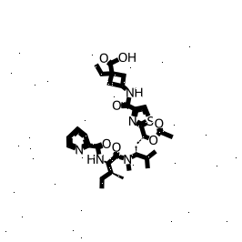 CC[C@H](C)[C@H](NC(=O)c1ccccn1)C(=O)N(C)[C@H](C[C@@H](OC(C)=O)c1nc(C(=O)NC2CC(CC)(C(=O)O)C2)cs1)C(C)C